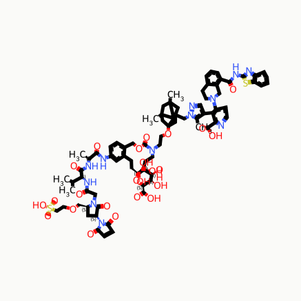 Cc1c(-c2c(N3CCc4cccc(C(=O)Nc5nc6ccccc6s5)c4C3)ccnc2C(=O)O)cnn1CC12CC3(C)CC(C)(C1)CC(OCCN(CC[C@H](O)CO)C(=O)OCc1ccc(NC(=O)[C@H](C)NC(=O)[C@@H](NC(=O)CN4C(=O)[C@@H](N5C(=O)C=CC5=O)C[C@H]4COCCS(=O)(=O)O)C(C)C)cc1CC[C@@H]1O[C@H](C(=O)O)[C@@H](O)[C@H](O)[C@H]1O)(C3)C2